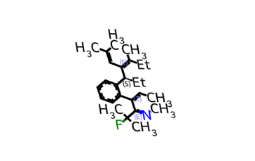 C/C=C(\C(=N/C)C(C)(C)F)c1ccccc1[C@H](CC)/C(C=C(C)C)=C(/C)CC